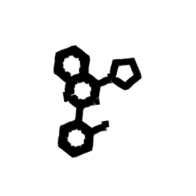 Fc1ccccc1-c1nc(N2CCCC2)c2ccccc2n1